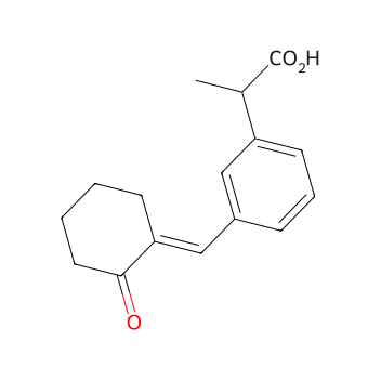 CC(C(=O)O)c1cccc(C=C2CCCCC2=O)c1